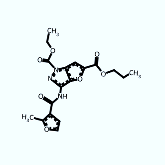 CCCOC(=O)c1cc2c(o1)c(NC(=O)c1ccoc1C)nn2C(=O)OCC